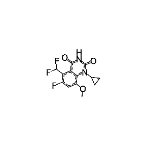 COc1cc(F)c(C(F)F)c2c(=O)[nH]c(=O)n(C3CC3)c12